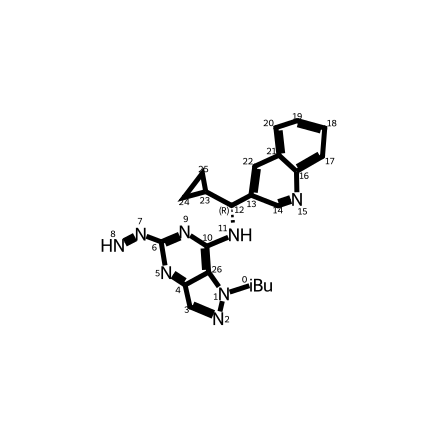 CCC(C)n1ncc2nc(N=N)nc(N[C@@H](c3cnc4ccccc4c3)C3CC3)c21